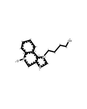 [O-][n+]1cc2ncn(CCCCO)c2c2ccccc21